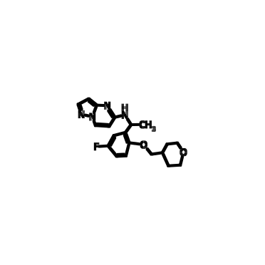 CC(Nc1ccn2nccc2n1)c1cc(F)ccc1OCC1CCOCC1